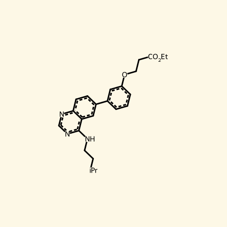 CCOC(=O)CCOc1cccc(-c2ccc3ncnc(NCCC(C)C)c3c2)c1